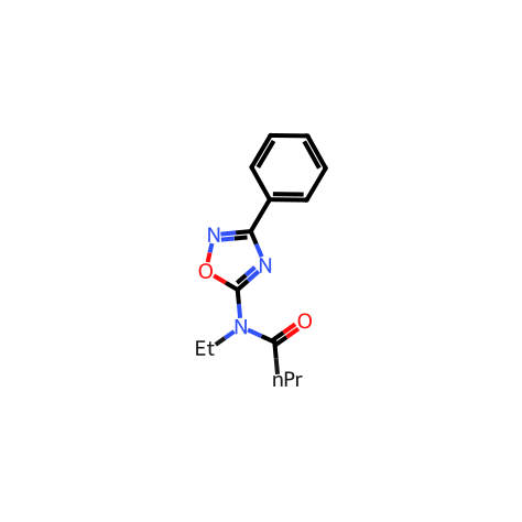 CCCC(=O)N(CC)c1nc(-c2ccccc2)no1